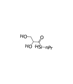 CCC[SiH]C(=O)C(O)CO